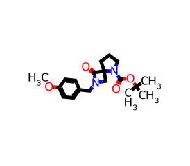 COc1ccc(CN2CC3(CCCN3C(=O)OC(C)(C)C)C2=O)cc1